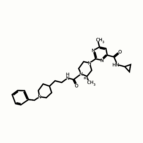 Cc1cc(C(=O)NC2CC2)nc(N2CCN(C(=O)NCCC3CCN(Cc4ccccc4)CC3)[C@H](C)C2)n1